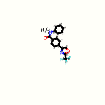 CN(C(=O)c1ccc(-c2coc(C(F)(F)F)n2)cc1)c1ccccc1